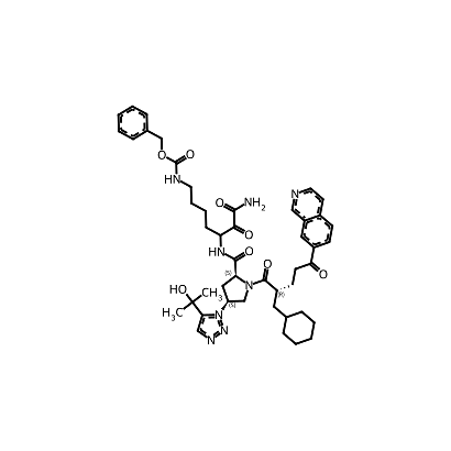 CC(C)(O)c1cnnn1[C@H]1C[C@@H](C(=O)NC(CCCCNC(=O)OCc2ccccc2)C(=O)C(N)=O)N(C(=O)[C@H](CCC(=O)c2ccc3ccncc3c2)CC2CCCCC2)C1